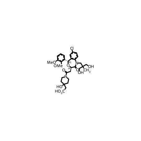 COc1cccc([C@H]2O[C@H](CC(=O)N3CCC(O)(CC(=O)O)CC3)C(=O)N(CC(C)(CO)CO)c3ccc(Cl)cc32)c1OC